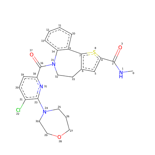 CNC(=O)c1cc2c(s1)-c1ccccc1N(C(=O)c1ccc(Cl)c(N3CCCOCC3)n1)CC2